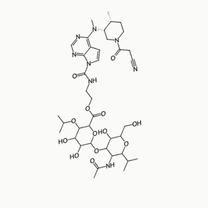 CC(=O)NC1C(C(C)C)OC(CO)C(O)C1OC1OC(C(=O)OCCNC(=O)n2ccc3c(N(C)[C@H]4CN(C(=O)CC#N)CC[C@H]4C)ncnc32)C(OC(C)C)C(O)C1O